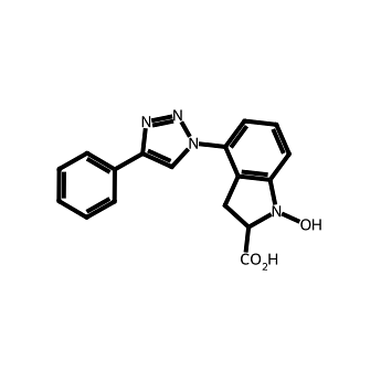 O=C(O)C1Cc2c(cccc2-n2cc(-c3ccccc3)nn2)N1O